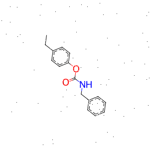 CCc1ccc(OC(=O)NCc2ccccc2)cc1